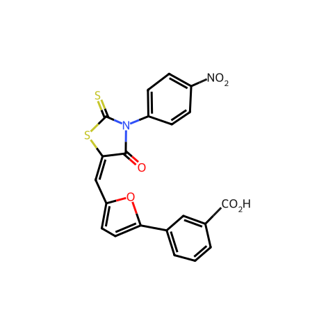 O=C(O)c1cccc(-c2ccc(C=C3SC(=S)N(c4ccc([N+](=O)[O-])cc4)C3=O)o2)c1